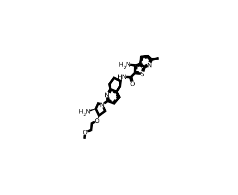 COCCO[C@H]1CN(c2ccc3c(n2)CC[C@H](NC(=O)c2sc4nc(C)ccc4c2N)C3)C[C@@H]1N